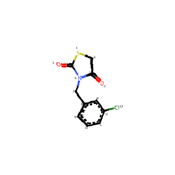 O=C1CSC(=O)N1Cc1cccc(Cl)c1